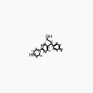 OCCC(c1ccc(F)cc1)c1cnc(N2CCNCC2)nc1